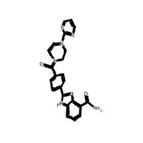 NC(=O)c1cccc2[nH]c(-c3ccc(C(=O)N4CCN(c5ncccn5)CC4)cc3)nc12